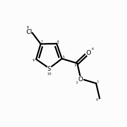 CCOC(=O)c1[c]c(Cl)cs1